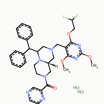 COc1nc(OC)c(CN2CC(C(c3ccccc3)c3ccccc3)N3CCN(C(=O)c4cnccn4)C[C@H]3C2)c(OCC(F)F)n1.Cl.Cl